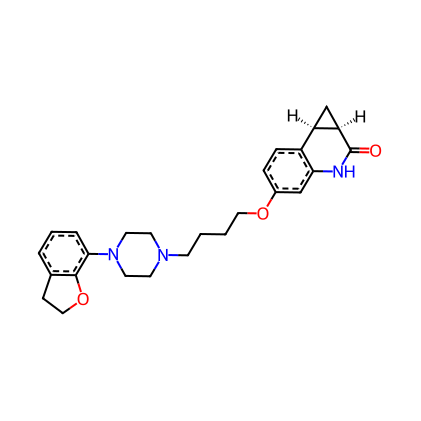 O=C1Nc2cc(OCCCCN3CCN(c4cccc5c4OCC5)CC3)ccc2[C@H]2C[C@@H]12